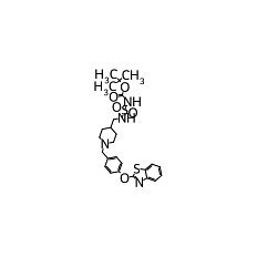 CC(C)(C)OC(=O)NS(=O)(=O)NCC1CCN(Cc2ccc(Oc3nc4ccccc4s3)cc2)CC1